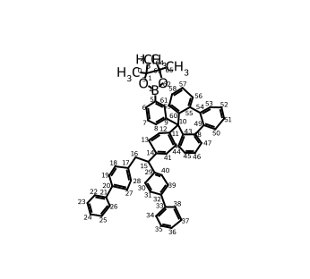 CC1(C)OB(c2cccc(C3(c4ccc(C(Cc5ccc(-c6ccccc6)cc5)c5ccc(-c6ccccc6)cc5)cc4)c4ccccc4-c4ccccc4-c4ccccc43)c2)OC1(C)C